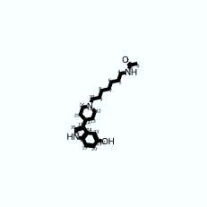 CC(=O)NCCCCCCCN1CCC(c2c[nH]c3ccc(O)cc23)CC1